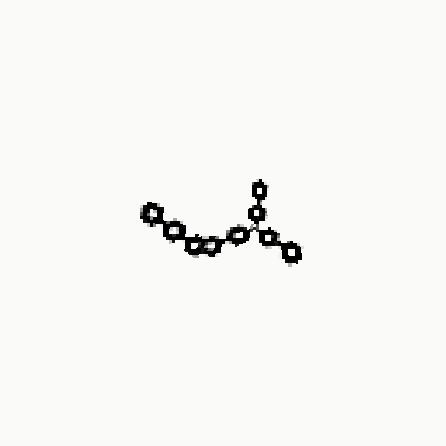 c1ccc(-c2ccc(-c3ccc4ccc(-c5ccc(N(c6ccc(-c7ccccc7)cc6)c6ccc(-c7ccccc7)cc6)cc5)cc4c3)cc2)cc1